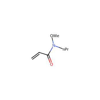 C=CC(=O)N(CCC)OC